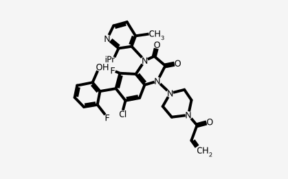 C=CC(=O)N1CCN(n2c(=O)c(=O)n(-c3c(C)ccnc3C(C)C)c3c(F)c(-c4c(O)cccc4F)c(Cl)cc32)CC1